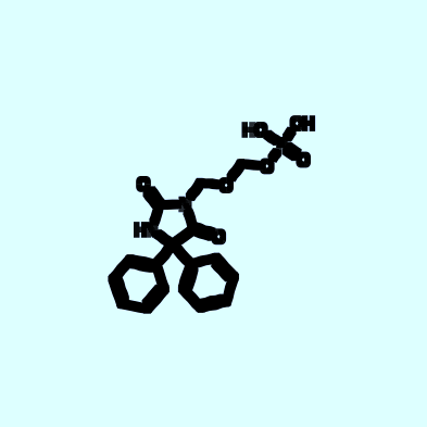 O=C1NC(c2ccccc2)(c2ccccc2)C(=O)N1COCOP(=O)(O)O